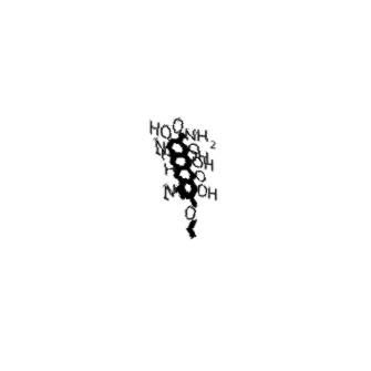 CCCOCc1cc(N(C)C)c2c(c1O)C(=O)C1=C(O)[C@]3(O)C(=O)C(C(N)=O)C(O)[C@@H](N(C)C)[C@@H]3C[C@@H]1C2